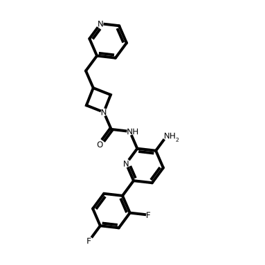 Nc1ccc(-c2ccc(F)cc2F)nc1NC(=O)N1CC(Cc2cccnc2)C1